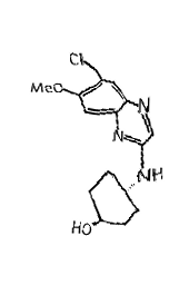 COc1cc2nc(N[C@H]3CC[C@H](O)CC3)cnc2cc1Cl